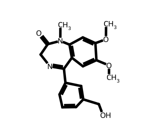 COc1cc2c(cc1OC)N(C)C(=O)CN=C2c1cccc(CO)c1